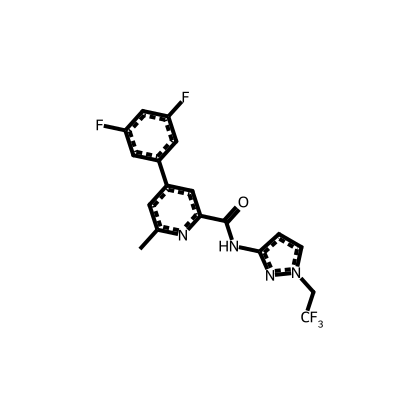 Cc1cc(-c2cc(F)cc(F)c2)cc(C(=O)Nc2ccn(CC(F)(F)F)n2)n1